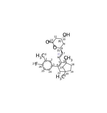 Cc1cc(C2=C(/C=C/[C@@H]3C[C@@H](O)CC(=O)O3)C3(C)CCC(C)(C2)C3)ccc1F